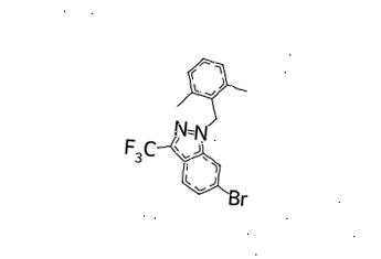 Cc1cccc(C)c1Cn1nc(C(F)(F)F)c2ccc(Br)cc21